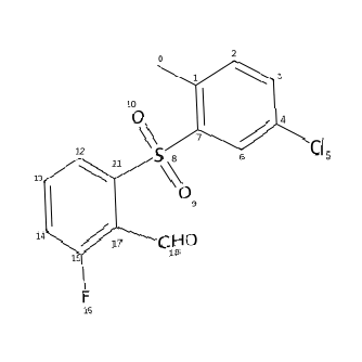 Cc1ccc(Cl)cc1S(=O)(=O)c1cccc(F)c1C=O